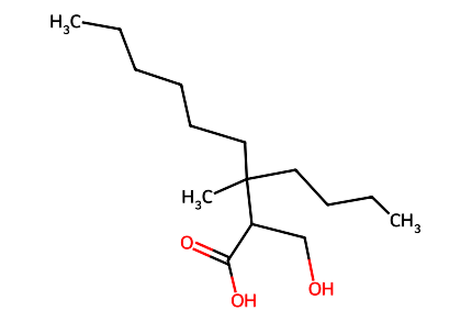 CCCCCCC(C)(CCCC)C(CO)C(=O)O